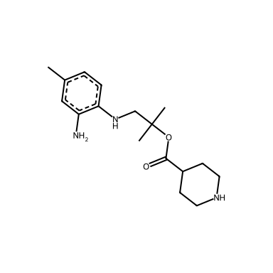 Cc1ccc(NCC(C)(C)OC(=O)C2CCNCC2)c(N)c1